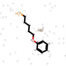 Br.PCCCCCOc1ccccc1